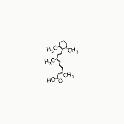 CC(C=CC1=C(C)CCCC1C)=CC=CC(C)=CC(=O)O